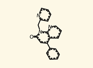 O=c1cc(-c2ccccc2)c2cccnc2n1Cc1ccccn1